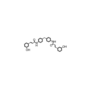 O=C(C=Cc1cccc(O)c1)Nc1ccc(Cc2ccc(NC(=O)C=Cc3cccc(O)c3)cc2)cc1